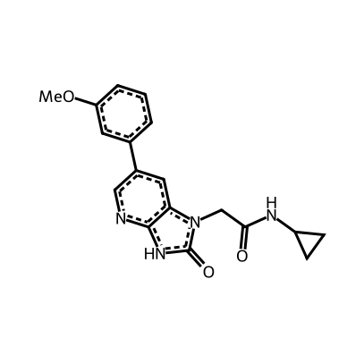 COc1cccc(-c2cnc3[nH]c(=O)n(CC(=O)NC4CC4)c3c2)c1